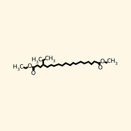 CCOC(=O)CCCCCCCCCCCCCCC(CCC(=O)OCC)C(C)C